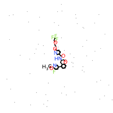 COc1ncc(-c2cccc3c2C[C@H](NC(=O)c2ccc(OCCOCC(F)(F)F)nc2)CO3)cc1F